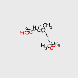 Cc1cc(CCCCCCC(C)(C)C(=O)O)cc(CCCCCCC2(C(=O)O)CC2)c1C